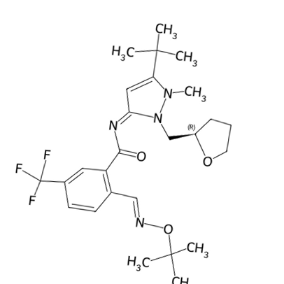 Cn1c(C(C)(C)C)cc(=NC(=O)c2cc(C(F)(F)F)ccc2C=NOC(C)(C)C)n1C[C@H]1CCCO1